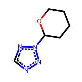 [c]1nnn(C2CCCCO2)n1